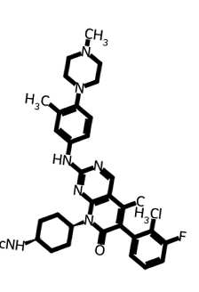 CC(=O)N[C@H]1CC[C@@H](n2c(=O)c(-c3cccc(F)c3Cl)c(C)c3cnc(Nc4ccc(N5CCN(C)CC5)c(C)c4)nc32)CC1